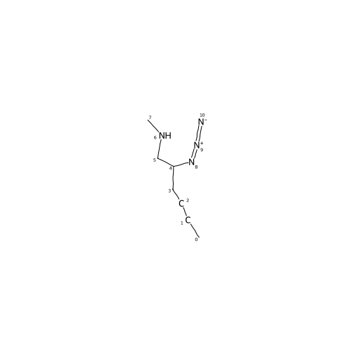 CCCCC(CNC)N=[N+]=[N-]